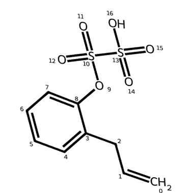 C=CCc1ccccc1OS(=O)(=O)S(=O)(=O)O